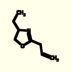 C=CCC1=NC(CC)CO1